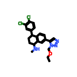 CCOCn1nncc1-c1ccc2c(c1)C(NC)CCC2c1ccc(Cl)c(Cl)c1